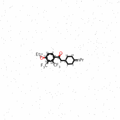 CCCC1CCC(CC(=O)c2ccc(OCC)c(C(F)(F)F)c2C(F)(F)F)CC1